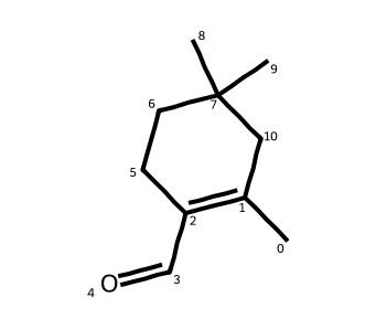 CC1=C(C=O)CCC(C)(C)C1